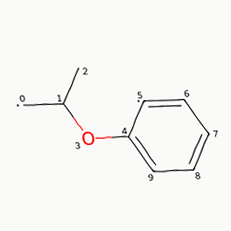 [CH2]C(C)Oc1[c]cccc1